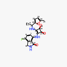 CCC(Nc1c(Nc2ccc(F)c3c2C(=O)NC3)c(=O)c1=O)c1ccc(C)o1